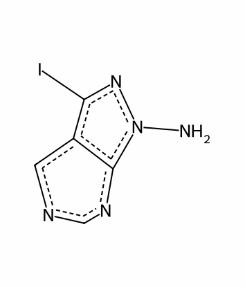 Nn1nc(I)c2cncnc21